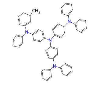 CC1C=C(N(c2ccccc2)c2ccc(N(C3=CCC(N(c4ccccc4)c4ccccc4)C=C3)c3ccc(N(c4ccccc4)c4ccccc4)cc3)cc2)C=CC1